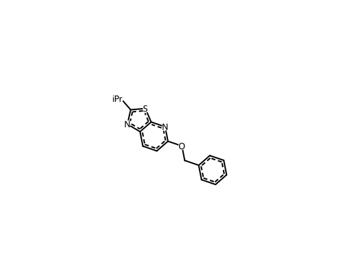 CC(C)c1nc2ccc(OCc3ccccc3)nc2s1